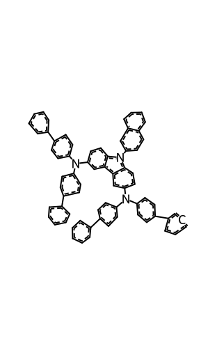 c1ccc(-c2ccc(N(c3ccc(-c4ccccc4)cc3)c3ccc4c(c3)c3cc(N(c5ccc(-c6ccccc6)cc5)c5ccc(-c6ccccc6)cc5)ccc3n4-c3ccc4ccccc4c3)cc2)cc1